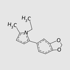 CCn1c(C)ccc1-c1ccc2c(c1)OCO2